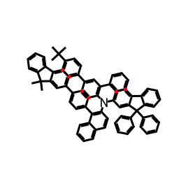 CC(C)(C)c1ccc(-c2ccc(N(c3ccc4c(c3)C(c3ccccc3)(c3ccccc3)c3ccccc3-4)c3ccc4ccccc4c3-c3ccc(-c4ccc5c(c4)C(C)(C)c4ccccc4-5)cc3)c(-c3ccccc3)c2)cc1